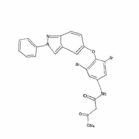 COC(=O)CC(=O)Nc1cc(Br)c(Oc2ccc3nn(-c4ccccc4)cc3c2)c(Br)c1